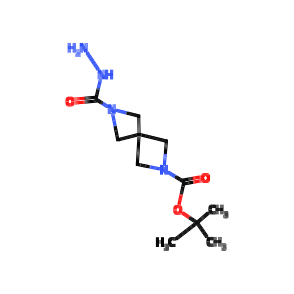 CC(C)(C)OC(=O)N1CC2(CN(C(=O)NN)C2)C1